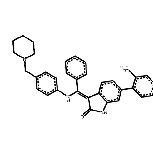 Cc1ccccc1-c1ccc2c(c1)NC(=O)/C2=C(\Nc1ccc(CN2CCCCC2)cc1)c1ccccc1